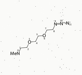 CNCCOCCOCCN=[N+]=[N-]